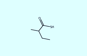 CCC(C)C(=O)S